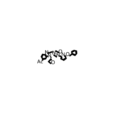 CC(=O)c1ccc2nc(CN3CCN(c4cccc(OCc5ccccc5)n4)C(=O)C3)n(C[C@@H]3CCO3)c2c1